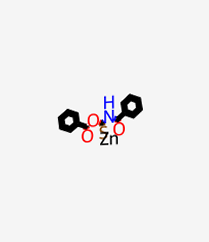 O=C(NC(=S)OC(=O)c1ccccc1)c1ccccc1.[Zn]